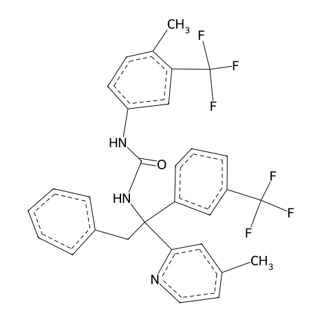 Cc1ccnc(C(Cc2ccccc2)(NC(=O)Nc2ccc(C)c(C(F)(F)F)c2)c2cccc(C(F)(F)F)c2)c1